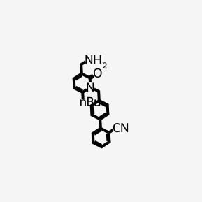 CCCCc1ccc(CN)c(=O)n1Cc1ccc(-c2ccccc2C#N)cc1